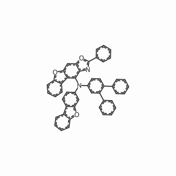 c1ccc(-c2nc3c(N(c4ccc(-c5ccccc5)c(-c5ccccc5)c4)c4ccc5c(c4)oc4ccccc45)c4c(cc3o2)oc2ccccc24)cc1